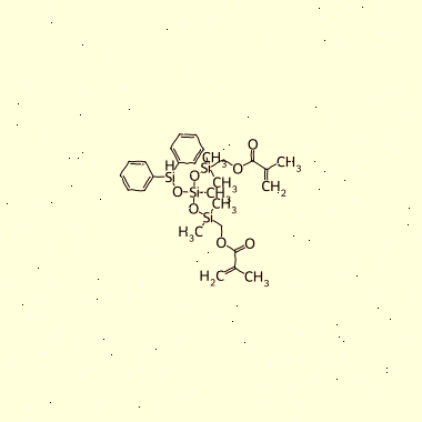 C=C(C)C(=O)OC[Si](C)(C)O[Si](C)(O[SiH](c1ccccc1)c1ccccc1)O[Si](C)(C)COC(=O)C(=C)C